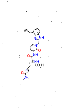 CC(C)Cc1cccc2[nH]c(Cn3cccc(NC(=O)[C@@H](CC/C=C/C(=O)N(C)C)NC(=O)O)c3=O)nc12